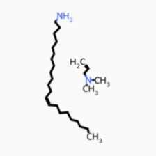 C=CCN(C)C.CCCCCCCC/C=C\CCCCCCCCCCCCN